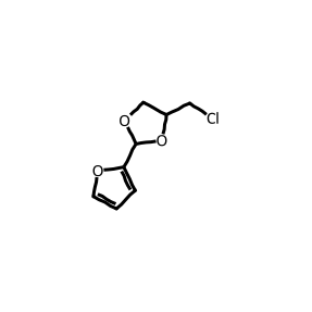 ClCC1COC(c2ccco2)O1